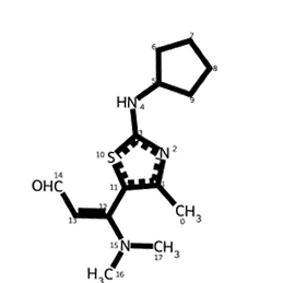 Cc1nc(NC2CCCC2)sc1/C(=C\C=O)N(C)C